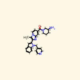 Cc1c(-c2cc3ccccc3n2Cc2ccncc2)nc2cc(C(=O)N3CCCC(N)C3)ccn12